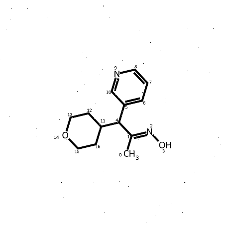 CC(=NO)C(c1cccnc1)C1CCOCC1